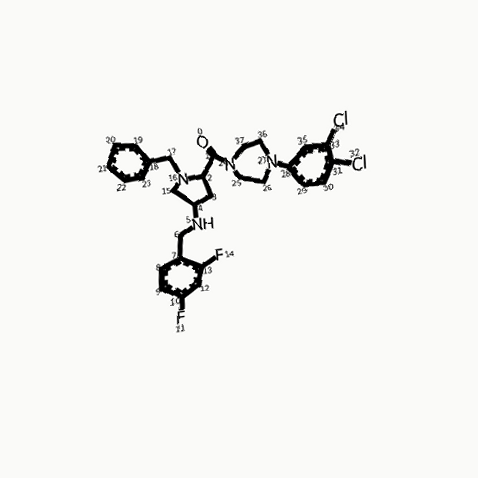 O=C(C1CC(NCc2ccc(F)cc2F)CN1Cc1ccccc1)N1CCN(c2ccc(Cl)c(Cl)c2)CC1